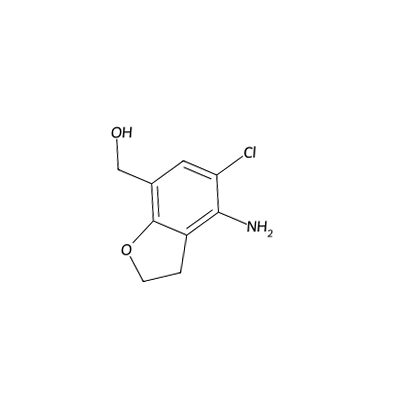 Nc1c(Cl)cc(CO)c2c1CCO2